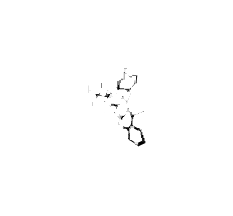 Cc1nc(N/C(=N/C(=O)C(F)(F)F)NC2CCN(C)CC2)nc2ccccc12